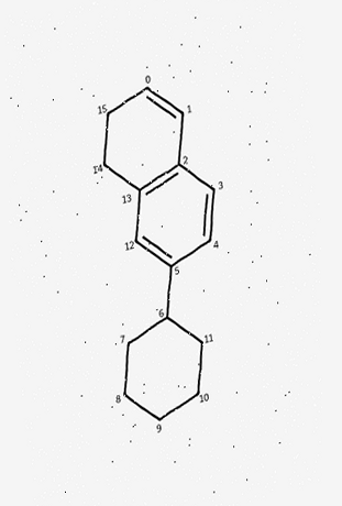 C1=Cc2ccc(C3CCCCC3)cc2CC1